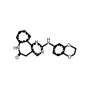 O=C1Cc2cnc(Nc3ccc4c(c3)OCCO4)nc2-c2ccccc2N1